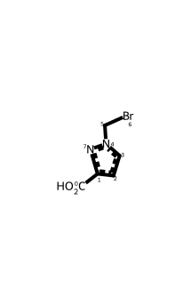 O=C(O)c1ccn(CBr)n1